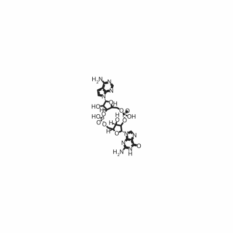 Nc1nc2c(ncn2[C@@H]2O[C@@H]3COP(=O)(O)O[C@@H]4C(O)[C@H](n5ccc6c(N)ncnc65)O[C@@H]4COP(=O)(O)OC2[C@H]3O)c(=O)[nH]1